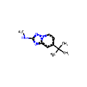 CNc1nc2cc(C(C)(C)C)ccn2n1